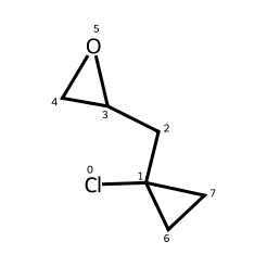 ClC1(CC2CO2)CC1